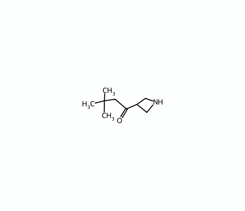 CC(C)(C)CC(=O)C1CNC1